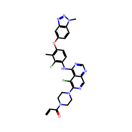 C=CC(=O)N1CCN(c2ncc3ncnc(Nc4ccc(Oc5ccc6c(c5)nnn6C)c(C)c4F)c3c2F)CC1